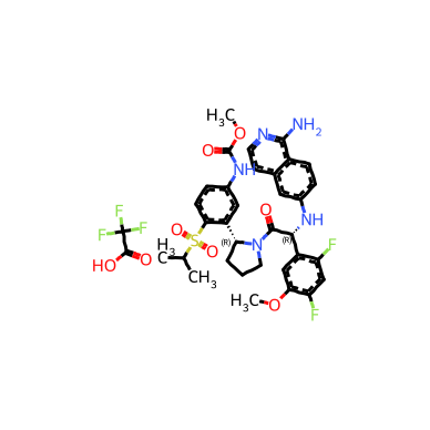 COC(=O)Nc1ccc(S(=O)(=O)C(C)C)c([C@H]2CCCN2C(=O)[C@H](Nc2ccc3c(N)nccc3c2)c2cc(OC)c(F)cc2F)c1.O=C(O)C(F)(F)F